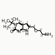 CC(C)(C)n1cc2cc(COCCN)[nH]c2nc1=O